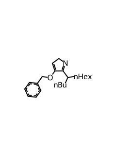 CCCCCCC(CCCC)C1=NCC=C1OCc1ccccc1